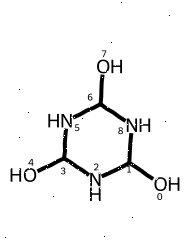 OC1NC(O)NC(O)N1